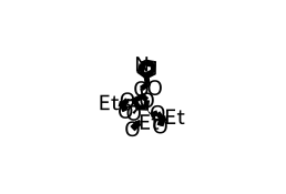 CCC(=O)OC[C@H]1O[C@H](OC(=O)c2cccnc2)[C@H](OC(=O)CC)[C@@H]1OC(=O)CC